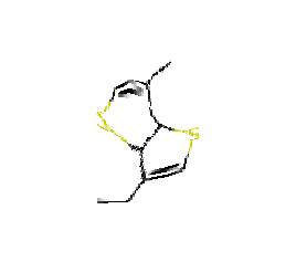 CCC1=CSC2C(C)=CSC12